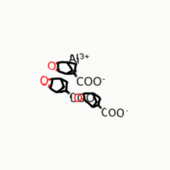 O=C([O-])C1CC2CC1C1OC21.O=C([O-])C1CC2CC1C1OC21.O=C([O-])C1CC2CC1C1OC21.[Al+3]